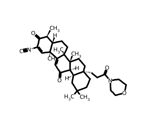 [C-]#[N+]C1=C[C@]2(C)C3=CC(=O)[C@@H]4[C@@H]5CC(C)(C)CC[C@]5(CCC(=O)N5CCOCC5)CC[C@@]4(C)[C@]3(C)CC[C@H]2[C@H](C)C1=O